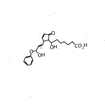 O=C(O)CCCCCC(O)C1C(=O)C=CC1/C=C/C(O)Oc1ccccc1